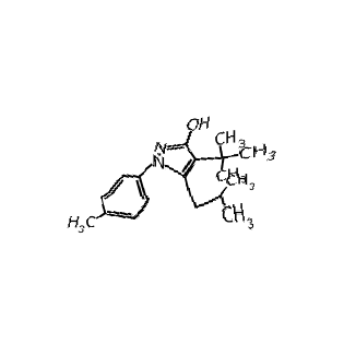 Cc1ccc(-n2nc(O)c(C(C)(C)C)c2CC(C)C)cc1